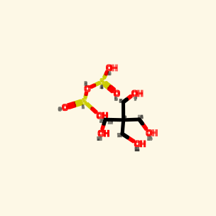 O=S(O)OS(=O)O.OCC(CO)(CO)CO